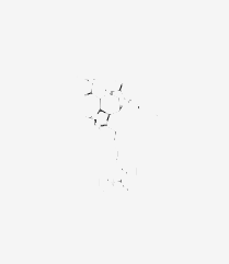 CN(C)C(=O)C1c2c(c(CSCCNC(=N)N)nn2C)C2CN1C(=O)N2OS(=O)(=O)O